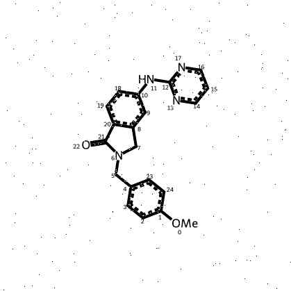 COc1ccc(CN2Cc3cc(Nc4ncccn4)ccc3C2=O)cc1